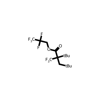 CC(C)(C)CC(C(=O)OCC(F)(F)C(F)(F)F)(C(C)(C)C)C(F)(F)F